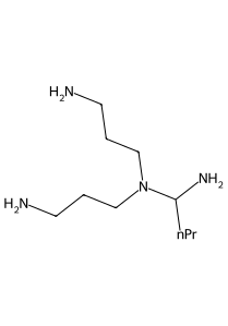 CCCC(N)N(CCCN)CCCN